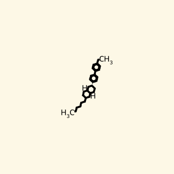 CCCCCCC1CC[C@@H]2C[C@H](c3ccc(-c4ccc(CC)cc4)cc3)CC[C@@H]2C1